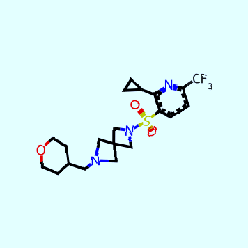 O=S(=O)(c1ccc(C(F)(F)F)nc1C1CC1)N1CC2(CN(CC3CCOCC3)C2)C1